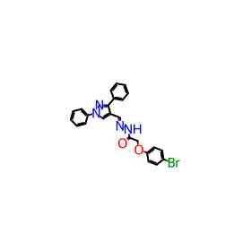 O=C(COc1ccc(Br)cc1)N/N=C/c1cn(-c2ccccc2)nc1-c1ccccc1